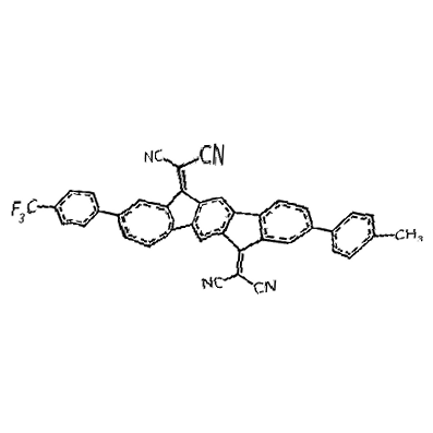 Cc1ccc(-c2ccc3c(c2)C(=C(C#N)C#N)c2cc4c(cc2-3)C(=C(C#N)C#N)c2cc(-c3ccc(C(F)(F)F)cc3)ccc2-4)cc1